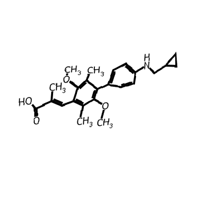 COc1c(C)c(-c2ccc(NCC3CC3)cc2)c(OC)c(C)c1/C=C(\C)C(=O)O